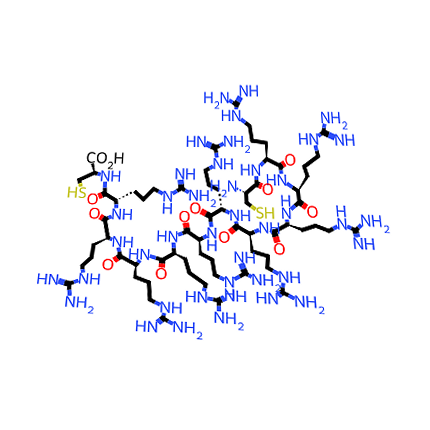 N=C(N)NCCC[C@H](NC(=O)[C@H](CCCNC(=N)N)NC(=O)[C@H](CCCNC(=N)N)NC(=O)[C@H](CCCNC(=N)N)NC(=O)[C@H](CCCNC(=N)N)NC(=O)[C@H](CCCNC(=N)N)NC(=O)[C@H](CCCNC(=N)N)NC(=O)[C@H](CCCNC(=N)N)NC(=O)[C@H](CCCNC(=N)N)NC(=O)[C@H](CCCNC(=N)N)NC(=O)[C@@H](N)CS)C(=O)N[C@@H](CS)C(=O)O